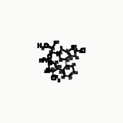 C=C(F)C(=O)N1Cc2sc(Cl)cc2[C@H](c2ccccc2-c2cn(CCC)nc2C(F)(F)F)C1